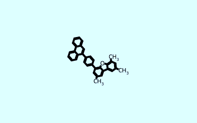 Cc1cc(C)c2oc3c(-c4ccc(-c5cc6ccccc6c6ccccc56)cc4)cc(C)cc3c2c1